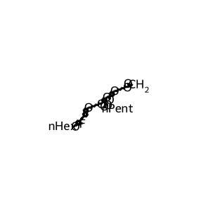 C=CC(=O)OCCCCCCOc1ccc(C(=O)Oc2ccc(OCCCCCCOc3ccc4cc(C#Cc5ccc(OCCCCCC)cc5F)ccc4c3)c(C(=O)OCCCCC)c2)cc1